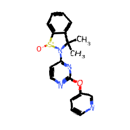 CC1(C)c2ccccc2[S+]([O-])N1c1ccnc(Oc2cccnc2)n1